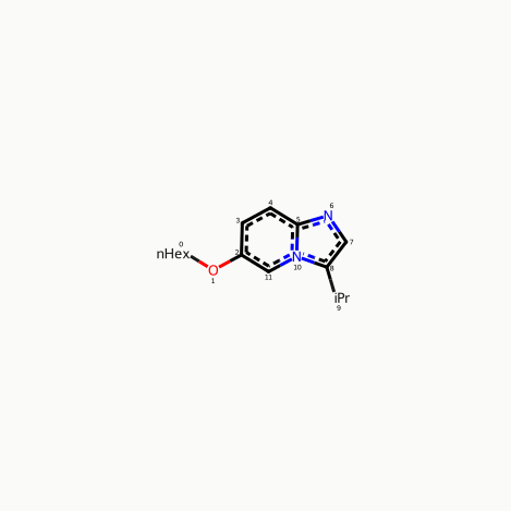 CCCCCCOc1ccc2ncc(C(C)C)n2c1